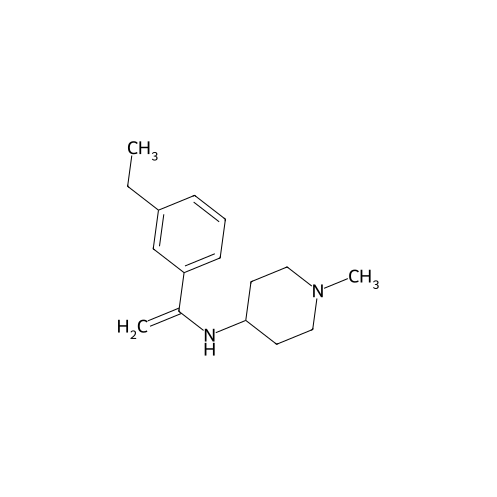 C=C(NC1CCN(C)CC1)c1cccc(CC)c1